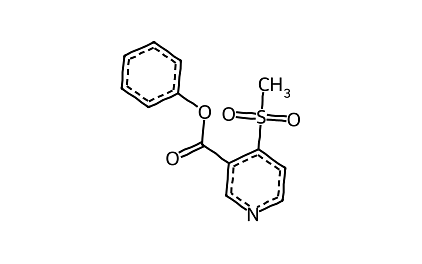 CS(=O)(=O)c1ccncc1C(=O)Oc1ccccc1